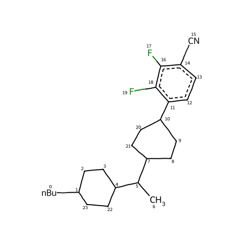 CCCCC1CCC(C(C)C2CCC(c3ccc(C#N)c(F)c3F)CC2)CC1